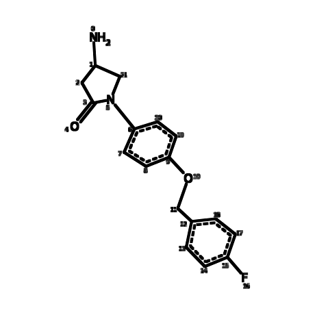 NC1CC(=O)N(c2ccc(OCc3ccc(F)cc3)cc2)C1